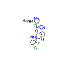 CC(=O)Nc1nccc(-c2cnc(C3CC[C@@H]4CC(c5c(N)ccc(Cl)c5F)=CC(=O)N34)[nH]2)c1Cl